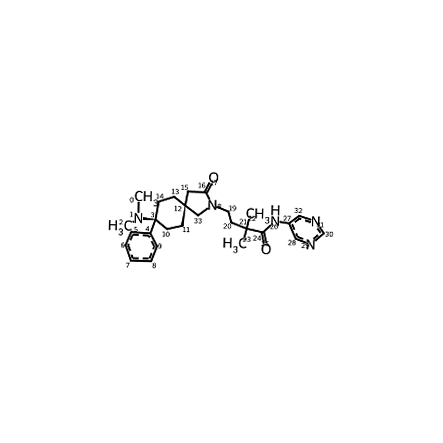 CN(C)[C@]1(c2ccccc2)CC[C@@]2(CC1)CC(=O)N(CCC(C)(C)C(=O)Nc1cncnc1)C2